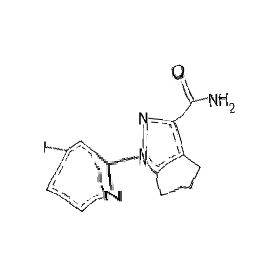 NC(=O)c1nn(-c2cc(I)ccn2)c2c1CCC2